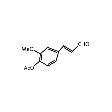 COc1cc(C=C[C]=O)ccc1OC(C)=O